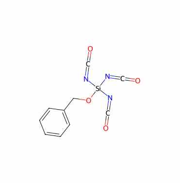 O=C=N[Si](N=C=O)(N=C=O)OCc1ccccc1